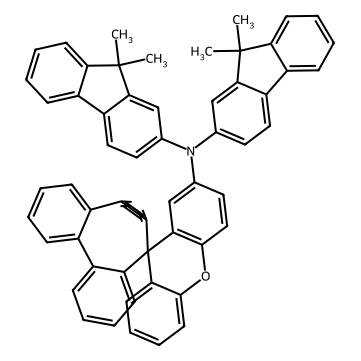 CC1(C)c2ccccc2-c2ccc(N(c3ccc4c(c3)C(C)(C)c3ccccc3-4)c3ccc4c(c3)C3(c5ccccc5O4)c4ccccc4-c4ccccc4-c4ccccc43)cc21